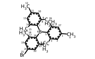 Cc1cc(C)c(B(c2c(C)cc(C)cc2C)c2c(C)cc(Br)cc2C)c(C)c1